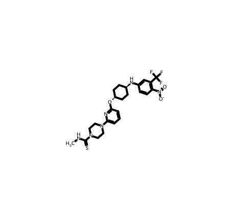 CNC(=S)N1CCN(c2cccc(O[C@H]3CC[C@H](Nc4ccc([N+](=O)[O-])c(C(F)(F)F)c4)CC3)n2)CC1